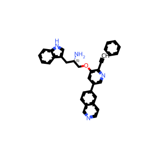 C#Cc1ncc(-c2ccc3cnccc3c2)cc1OC[C@@H](N)Cc1c[nH]c2ccccc12.c1ccccc1